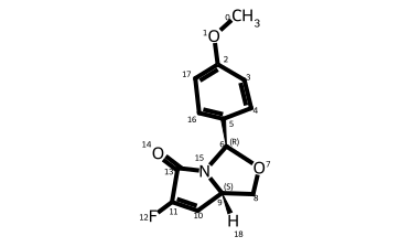 COc1ccc([C@H]2OC[C@@H]3C=C(F)C(=O)N23)cc1